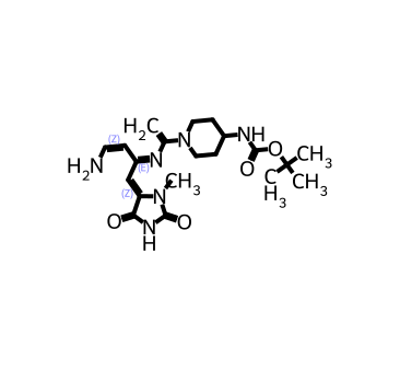 C=C(/N=C(\C=C/N)/C=C1/C(=O)NC(=O)N1C)N1CCC(NC(=O)OC(C)(C)C)CC1